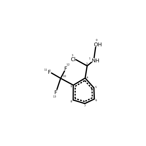 ONC(Cl)c1ccccc1C(F)(F)F